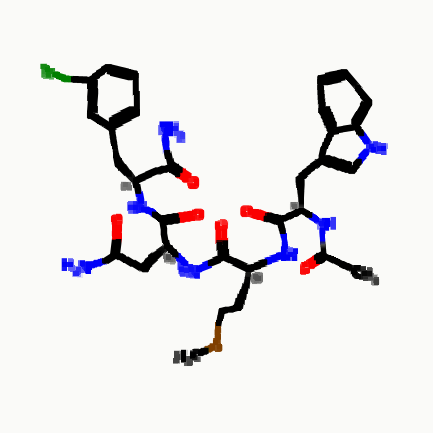 CSCC[C@H](NC(=O)[C@@H](Cc1c[nH]c2ccccc12)NC(C)=O)C(=O)N[C@@H](CC(N)=O)C(=O)N[C@@H](Cc1cccc(Br)c1)C(N)=O